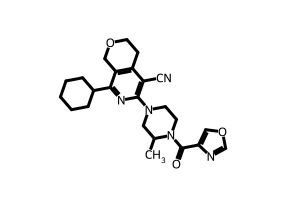 CC1CN(c2nc(C3CCCCC3)c3c(c2C#N)CCOC3)CCN1C(=O)c1cocn1